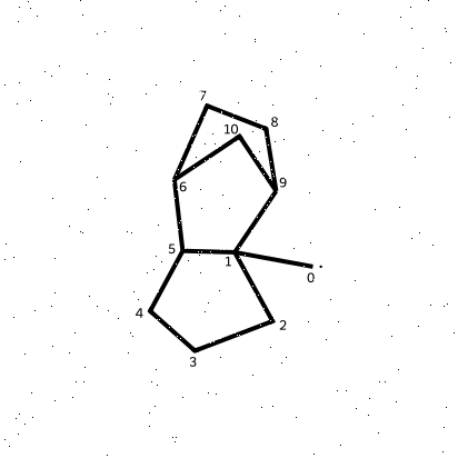 [CH2]C12CCCC1C1CCC2C1